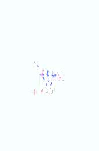 C#Cc1c(F)ccc2cc(O)cc(-c3ncc4c(N5CCCC(C)(C)[C@@H](NC(=O)C=C)C5)nc(OCC56CCCN5CCC6)nc4c3F)c12